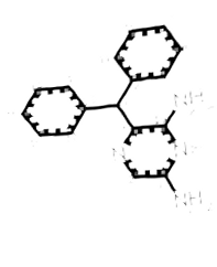 Nc1cnc(C(c2ccccc2)c2ccccc2)c(N)n1